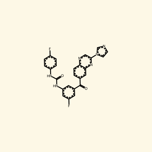 O=C(Nc1ccc(F)cc1)Nc1cc(F)cc(C(=O)c2ccc3ncc(-n4ccnc4)nc3c2)c1